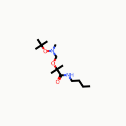 CCCCNC(=O)C(C)(C)OCN(C)OC(C)(C)C